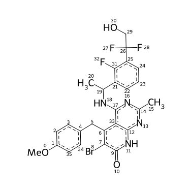 COc1ccc(Cc2c(Br)c(=O)[nH]c3nc(C)nc(NC(C)c4cccc(C(F)(F)CO)c4F)c23)cc1